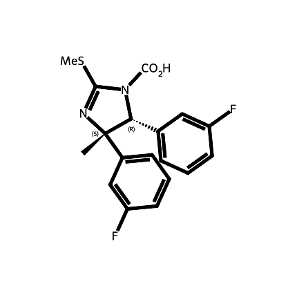 CSC1=N[C@@](C)(c2cccc(F)c2)[C@@H](c2cccc(F)c2)N1C(=O)O